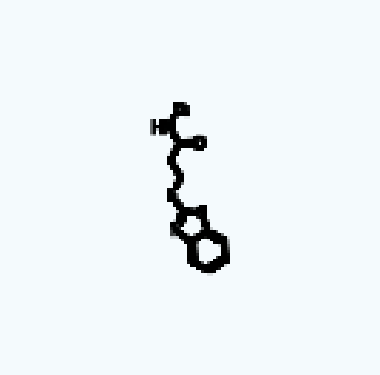 CCNC(=O)CCSc1nc2ccccc2s1